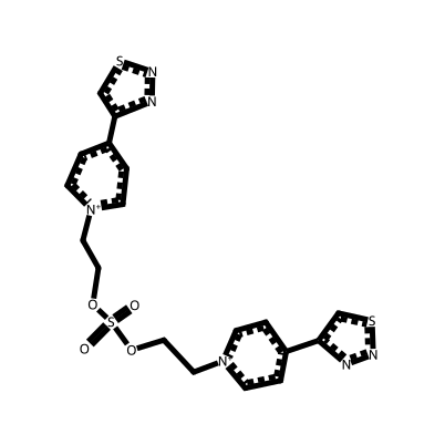 O=S(=O)(OCC[n+]1ccc(-c2csnn2)cc1)OCC[n+]1ccc(-c2csnn2)cc1